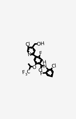 CC(Oc1cc(-c2cc(CO)c(Cl)cn2)c(F)cc1C(=O)Nc1c(F)cccc1Cl)C(F)(F)F